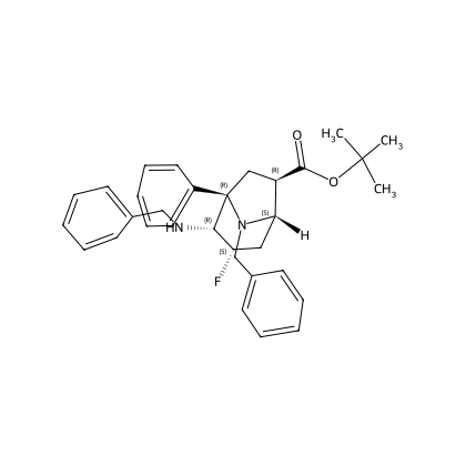 CC(C)(C)OC(=O)[C@@H]1C[C@@]2(c3ccccc3)[C@@H](NCc3ccccc3)[C@@H](F)C[C@@H]1N2Cc1ccccc1